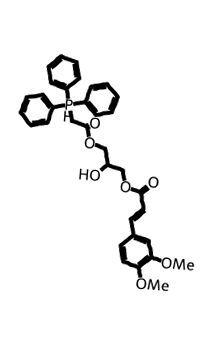 COc1ccc(C=CC(=O)OCC(O)COC(=O)C[PH](c2ccccc2)(c2ccccc2)c2ccccc2)cc1OC